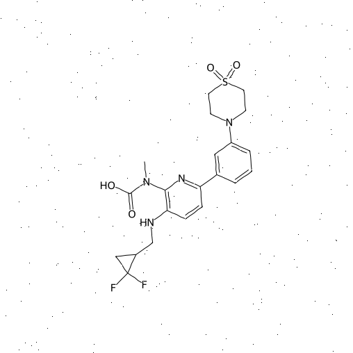 CN(C(=O)O)c1nc(-c2cccc(N3CCS(=O)(=O)CC3)c2)ccc1NCC1CC1(F)F